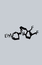 CCN1CCC(n2ccc3c(F)c(F)ccc32)C1